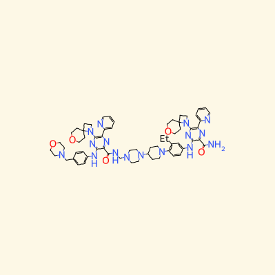 CCc1cc(Nc2nc(N3CCC34CCOCC4)c(-c3ccccn3)nc2C(N)=O)ccc1N1CCC(N2CCN(CNC(=O)c3nc(-c4ccccn4)c(N4CCC45CCOCC5)nc3Nc3ccc(CN4CCOCC4)cc3)CC2)CC1